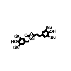 CC(C)(C)c1cc(CCc2nn(Cc3cc(C(C)(C)C)c(O)c(C(C)(C)C)c3)c(=O)o2)cc(C(C)(C)C)c1O